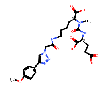 COc1ccc(-c2cn(CC(=O)NCCCC[C@@H](C(=O)O)N(C)C(=O)N[C@@H](CCC(=O)O)C(=O)O)nn2)cc1